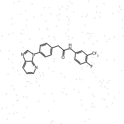 O=C(Cc1ccc(-n2cnc3cccnc32)cc1)Nc1ccc(F)c(C(F)(F)F)c1